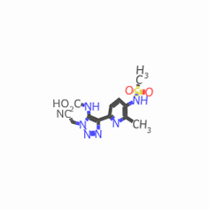 Cc1nc(-c2nnn(CC#N)c2NC(=O)O)ccc1NS(C)(=O)=O